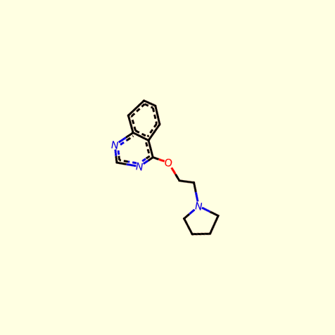 c1ccc2c(OCCN3CCCC3)ncnc2c1